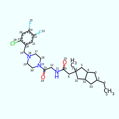 CCC1CC2CC(C)(CC(=O)NCC(=O)N3CCN(Cc4cc(F)c(F)cc4Cl)CC3)CC2C1